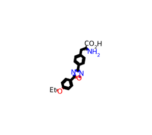 CCOc1ccc(-c2nc(-c3ccc(C[C@H](N)C(=O)O)cc3)no2)cc1